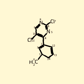 CC1C=C(c2nc(Cl)ncc2Cl)C=CC1